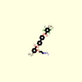 Cc1ccc(C(=O)Oc2ccc(-c3ccc(OC(=O)c4c(F)c(F)c(C)c(F)c4F)cc3)cc2)c(OCCCN)c1